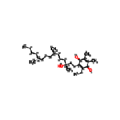 CC1=C(C)C(=O)C(CC(C)C)=C(CC[C@](C)(O)CCC[C@H](C)CCC[C@H](C)CCCC(C)C)C1=O